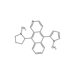 CN1CCCC1c1c2ccccc2c(-c2cccn2C)c2ccncc12